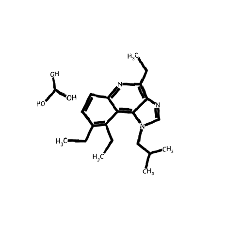 CCc1ccc2nc(CC)c3ncn(CC(C)C)c3c2c1CC.OC(O)O